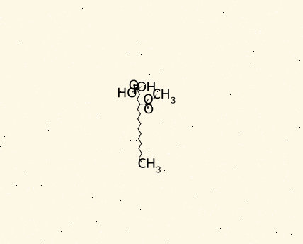 CCCCCCCCCCCCC(CCP(=O)(O)O)C(=O)OCC